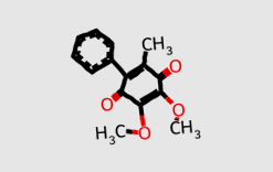 COC1=C(OC)C(=O)C(c2ccccc2)=C(C)C1=O